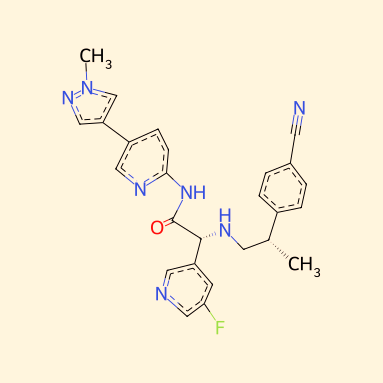 C[C@H](CN[C@@H](C(=O)Nc1ccc(-c2cnn(C)c2)cn1)c1cncc(F)c1)c1ccc(C#N)cc1